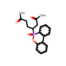 COC(=O)CCC(CC(=O)OC)P1(=O)Oc2ccccc2-c2ccccc21